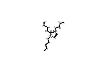 CCCCCN1C=CN(CCCC)C1CCCC